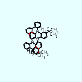 CC1C2=C(C=C[C@@H]1C(C)(C)C)B1c3ccc(C(C)(C)C)cc3N(c3ccccc3-c3ccccc3)c3cccc(c31)N2c1ccccc1-c1ccccc1